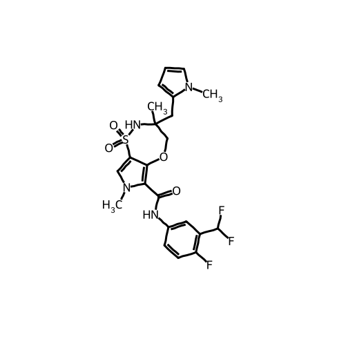 Cn1cccc1CC1(C)COc2c(cn(C)c2C(=O)Nc2ccc(F)c(C(F)F)c2)S(=O)(=O)N1